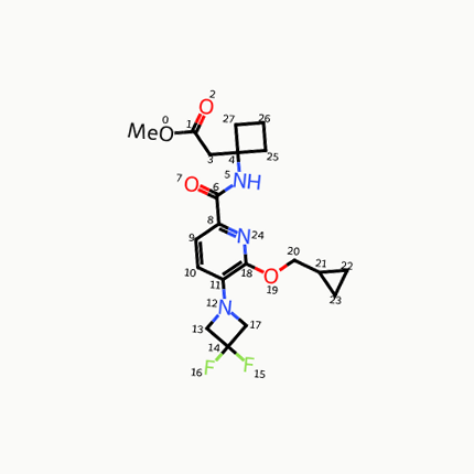 COC(=O)CC1(NC(=O)c2ccc(N3CC(F)(F)C3)c(OCC3CC3)n2)CCC1